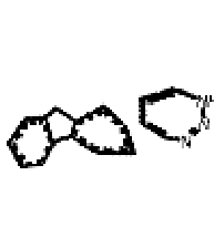 C1=CN=NNC=C1.c1ccc2c(c1)Cc1ccccc1-2